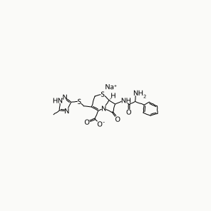 Cc1nc(SCC2=C(C(=O)[O-])N3C(=O)C(NC(=O)C(N)c4ccccc4)[C@@H]3SC2)n[nH]1.[Na+]